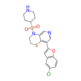 O=S(=O)(C1CCNCC1)N1CCSc2c(-c3cc4cc(Cl)ccc4o3)cncc21